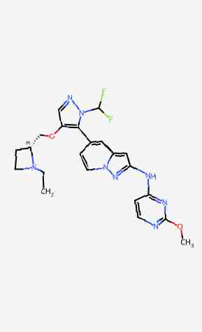 CCN1CC[C@@H]1COc1cnn(C(F)F)c1-c1ccn2nc(Nc3ccnc(OC)n3)cc2c1